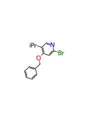 CC(C)c1cnc(Br)cc1OCc1ccccc1